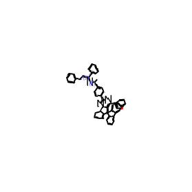 C/C(=N\C(=C/Cc1ccccc1)c1ccccc1)c1ccc(-c2nc(-c3ccccc3)c3c(n2)-c2ccccc2C32c3ccccc3-c3ccccc32)cc1